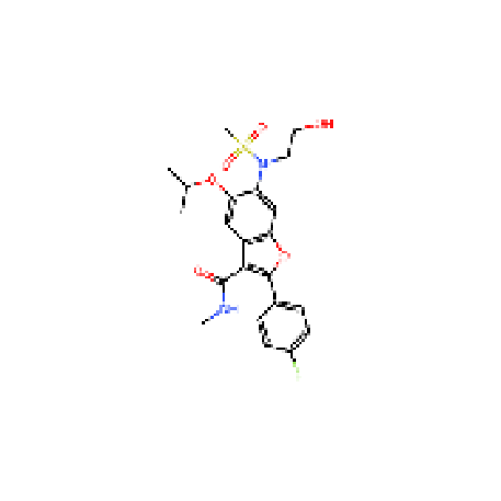 CNC(=O)c1c(-c2ccc(F)cc2)oc2cc(N(CCO)S(C)(=O)=O)c(OC(C)C)cc12